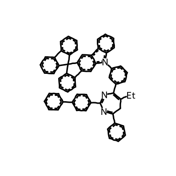 CCC1=C(c2cccc(-n3c4ccccc4c4cc5c(cc43)-c3ccccc3C53c4ccccc4-c4ccccc43)c2)N=C(c2ccc(-c3ccccc3)cc2)N=C(c2ccccc2)C1